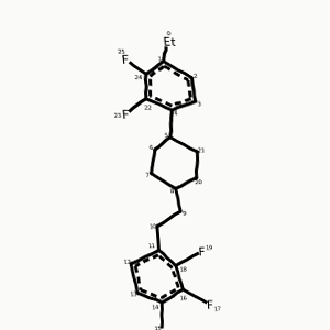 CCc1ccc(C2CCC(CCc3ccc(C)c(F)c3F)CC2)c(F)c1F